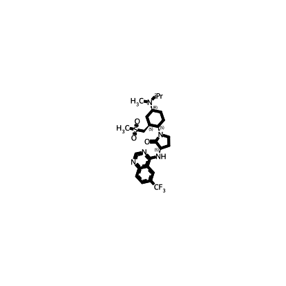 CC(C)N(C)[C@@H]1CC[C@H](N2CC[C@H](Nc3ncnc4ccc(C(F)(F)F)cc34)C2=O)[C@@H](CS(C)(=O)=O)C1